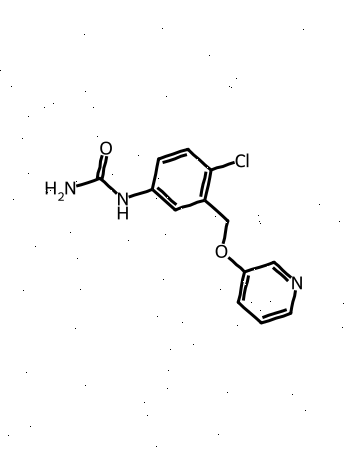 NC(=O)Nc1ccc(Cl)c(COc2cccnc2)c1